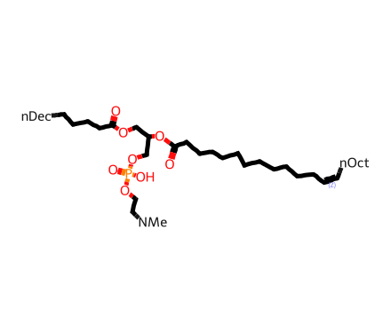 CCCCCCCC/C=C\CCCCCCCCCCCC(=O)OC(COC(=O)CCCCCCCCCCCCCC)COP(=O)(O)OCCNC